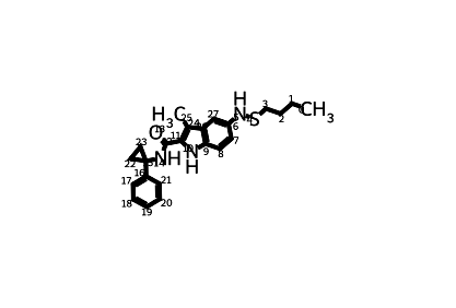 CCCCSNc1ccc2[nH]c(C(=O)NC3(c4ccccc4)CC3)c(C)c2c1